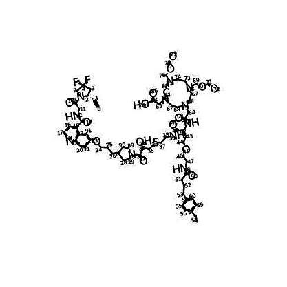 C#C[C@H]1CC(F)(F)CN1C(=O)CNC(=O)c1ccnc2ccc(OCCCC3CCN(C(=O)[C@H](O)CSCCNC(=O)C(CCOCCNC(=O)CCCc4ccc(I)cc4)NC(=O)CN4CCN(COC=O)CCN(COC=O)CCN(CC(=O)O)CC4)CC3)cc12